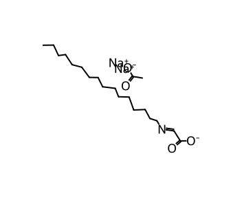 CC(=O)[O-].CCCCCCCCCCCCCCCCN=CC(=O)[O-].[Na+].[Na+]